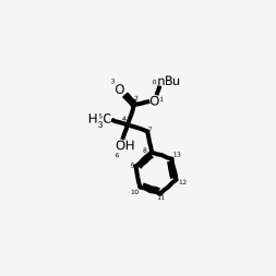 CCCCOC(=O)C(C)(O)Cc1ccccc1